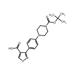 CC(C)(C)OC(=O)N1CCN(c2ccc(-c3nocc3C(=O)O)cc2)CC1